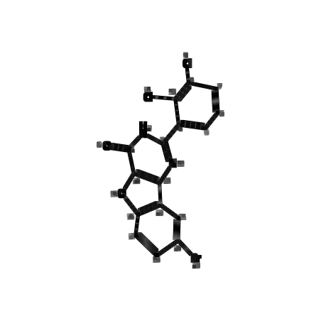 O=c1[nH]c(-c2cccc(Cl)c2Cl)nc2c1oc1ccc(Br)cc12